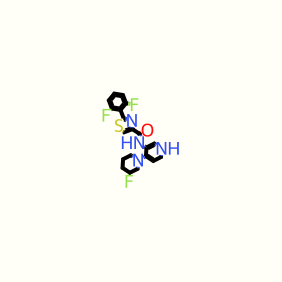 O=C(NC1=CNCC=C1N1CCC[C@H](F)C1)c1csc(-c2c(F)cccc2F)n1